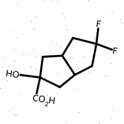 O=C(O)C1(O)CC2CC(F)(F)CC2C1